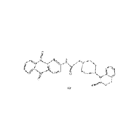 Cl.O=C(CN1CCC(N2C(=O)OCc3ccccc32)CC1)Nc1ccc2c(c1)C(=O)c1ccccc1C2=O